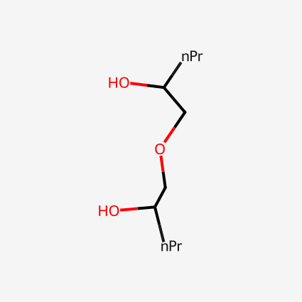 CCCC(O)COCC(O)CCC